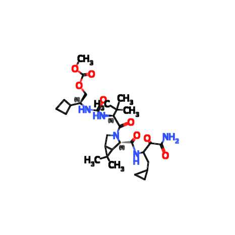 COC(=O)OC[C@@H](NC(=O)N[C@H](C(=O)N1CC2C([C@H]1C(=O)NC(CC1CC1)C(=O)C(N)=O)C2(C)C)C(C)(C)C)C1CCC1